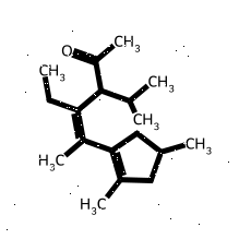 CC/C(=C(\C)C1=C(C)CC(C)C1)C(C(C)=O)C(C)C